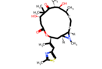 CC(=Cc1csc(C)n1)[C@@H]1C[C@H]2[C@@H](CCC[C@H](C)[C@H](O)[C@@H](C)C(=O)C(C)(C)[C@@H](O)CC(=O)O1)N2C